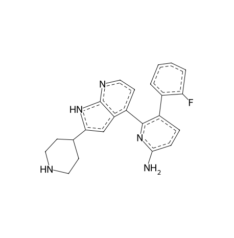 Nc1ccc(-c2ccccc2F)c(-c2ccnc3[nH]c(C4CCNCC4)cc23)n1